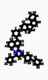 CC1(C)c2cc(-c3cccc(-c4ccc(-c5nc(-c6ccccc6)cc(-c6ccc(-c7ccccc7)cc6)n5)c5ccccc45)c3)ccc2-c2c1ccc1ccccc21